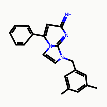 Cc1cc(C)cc(Cn2ccn3c(-c4ccccc4)cc(=N)nc23)c1